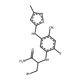 Cc1cc(Nc2cc(NC(CC(C)C)C(N)=O)c(F)cc2C#N)sn1